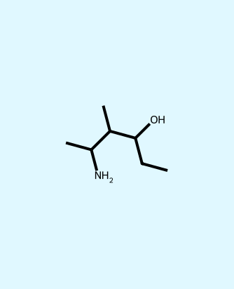 CCC(O)C(C)C(C)N